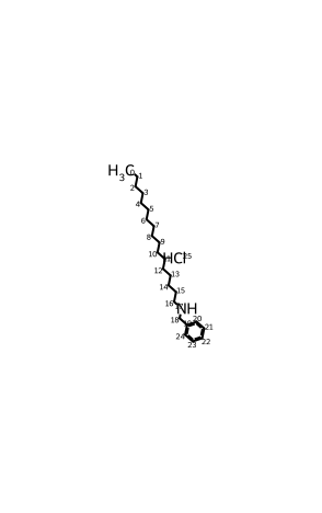 CCCCCCCCCCCCCCCCCNCc1ccccc1.Cl